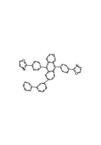 c1ccc(-c2cccc(-c3ccc4c(-c5ccc(-c6ncco6)cc5)c5ccccc5c(-c5ccc(-c6ncco6)cc5)c4c3)c2)cc1